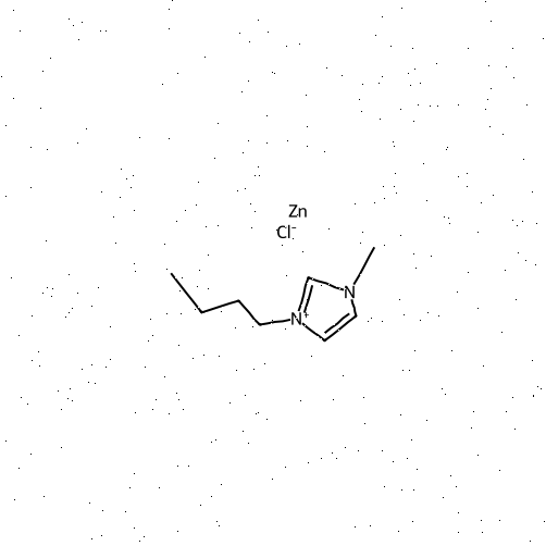 CCCC[n+]1ccn(C)c1.[Cl-].[Zn]